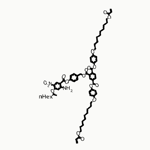 C=CC(=O)OCCCCCCCCCCOc1ccc(OC(=O)c2ccc(C(=O)Oc3ccc(OCCCCCCCCCCOC(=O)C=C)cc3)c(C(=O)OCc3ccc(OC(=O)c4cc([N+](=O)[O-])c(O[C@@H](C)CCCCCC)cc4N)cc3)c2)cc1